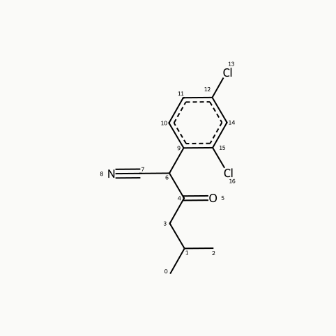 CC(C)CC(=O)C(C#N)c1ccc(Cl)cc1Cl